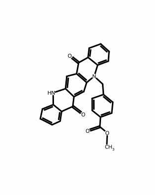 COC(=O)c1ccc(Cn2c3ccccc3c(=O)c3cc4[nH]c5ccccc5c(=O)c4cc32)cc1